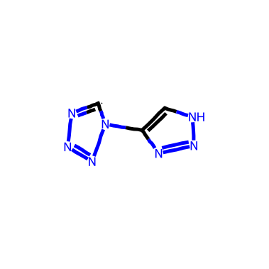 [c]1nnnn1-c1c[nH]nn1